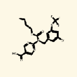 CCCCOC(=O)N(Cc1cc(Br)cc(OC(F)(F)F)c1)c1ncc(C(=O)O)cn1